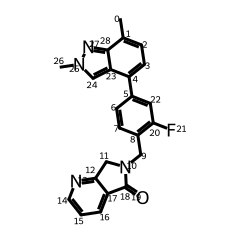 Cc1ccc(-c2ccc(CN3Cc4ncccc4C3=O)c(F)c2)c2cn(C)nc12